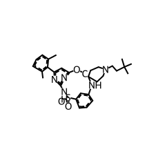 Cc1cccc(C)c1-c1cc2nc(n1)NS(=O)(=O)c1cccc(c1)NC1(CCN(CCC(C)(C)C)CC1)CO2